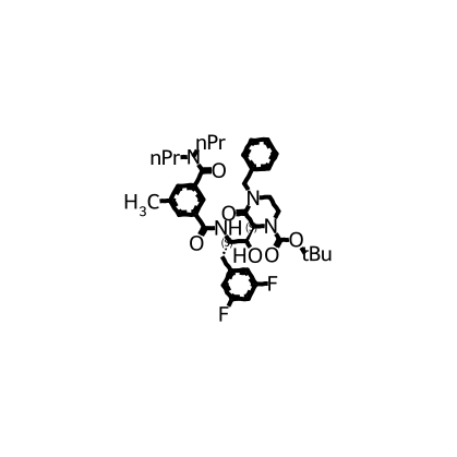 CCCN(CCC)C(=O)c1cc(C)cc(C(=O)N[C@@H](Cc2cc(F)cc(F)c2)C(O)[C@H]2C(=O)N(Cc3ccccc3)CCN2C(=O)OC(C)(C)C)c1